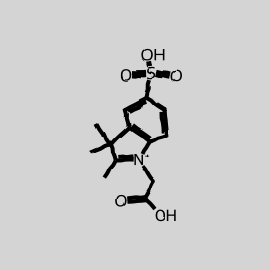 CC1=[N+](CC(=O)O)c2ccc(S(=O)(=O)O)cc2C1(C)C